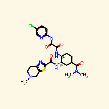 CN1CCc2nc(C(=O)N[C@H]3CC(C(=O)N(C)C)CC[C@@H]3NC(=O)C(=O)Nc3ccc(Cl)cn3)sc2C1